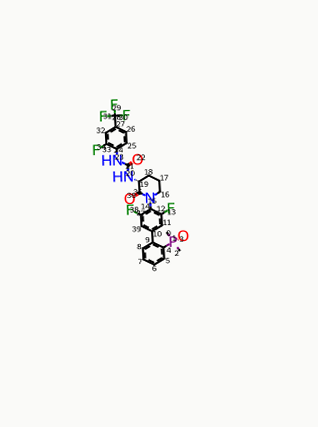 CP(C)(=O)c1ccccc1-c1cc(F)c(N2CCC[C@@H](NC(=O)Nc3ccc(C(F)(F)F)cc3F)C2=O)c(F)c1